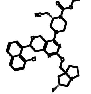 CC(C)(C)OC(=O)N1CCN(c2nc(OC[C@@]34CCCN3C[C@H](F)C4)nc3c2COC(c2cccc4cccc(Cl)c24)C3)C[C@@H]1CC#N